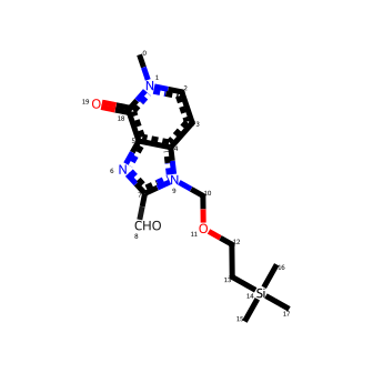 Cn1ccc2c(nc(C=O)n2COCC[Si](C)(C)C)c1=O